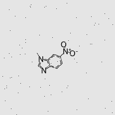 Cn1cnc2ccc([N+](=O)[O-])cc21